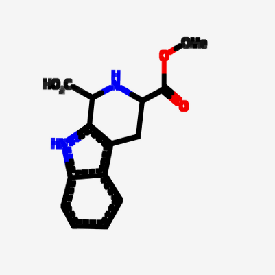 COOC(=O)C1Cc2c([nH]c3ccccc23)C(C(=O)O)N1